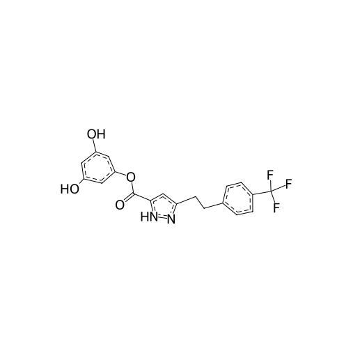 O=C(Oc1cc(O)cc(O)c1)c1cc(CCc2ccc(C(F)(F)F)cc2)n[nH]1